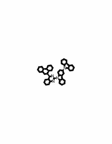 c1ccc2c(c1)cc(-c1nc(-n3c4ccccc4c4cc(-n5c6ccccc6c6ccccc65)ccc43)nc3ccccc13)c1ccccc12